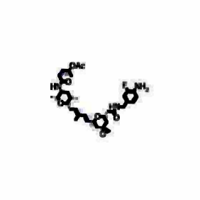 CC(=O)O[C@@H](C)/C=C\C(=O)N[C@@H]1C[C@H](C)[C@H](C/C=C(C)/C=C/[C@@H]2C[C@]3(CO3)C[C@@H](CC(=O)NCc3ccc(N)c(F)c3)O2)O[C@@H]1C